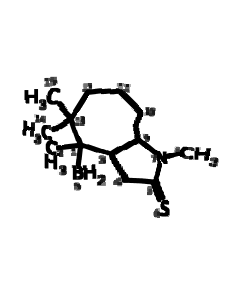 BC1(C)C2CC(=S)N(C)C2CCCC1(C)C